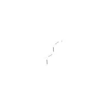 CN[SiH2]O[SiH3]